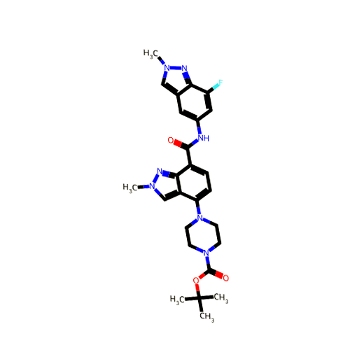 Cn1cc2cc(NC(=O)c3ccc(N4CCN(C(=O)OC(C)(C)C)CC4)c4cn(C)nc34)cc(F)c2n1